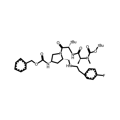 C[C@@H](C(=O)N[C@H](C(=O)N1C[C@@H](NC(=O)OCc2ccccc2)C[C@H]1CNCCc1ccc(F)cc1)C(C)(C)C)N(C)C(=O)OC(C)(C)C